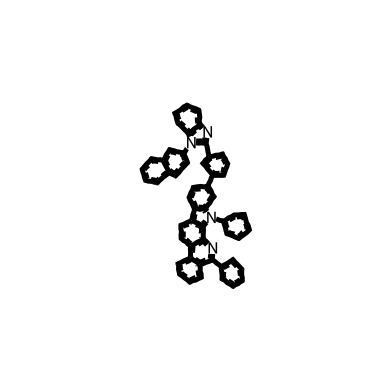 c1ccc(-c2nc3c(ccc4c5ccc(-c6cccc(-c7nc8ccccc8n7-c7ccc8ccccc8c7)c6)cc5n(-c5ccccc5)c43)c3ccccc23)cc1